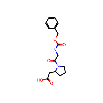 O=C(O)CC1CCCN1C(=O)CNC(=O)OCc1ccccc1